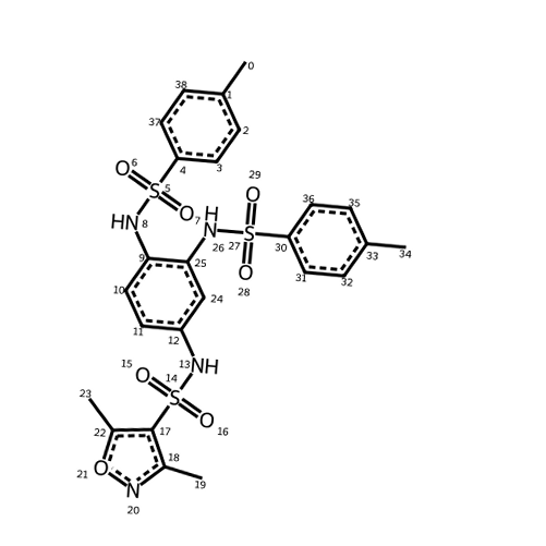 Cc1ccc(S(=O)(=O)Nc2ccc(NS(=O)(=O)c3c(C)noc3C)cc2NS(=O)(=O)c2ccc(C)cc2)cc1